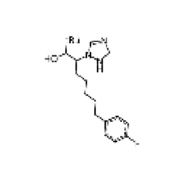 CC(C)(C)C(O)C(CCCCCc1ccc(F)cc1)N1C=NCN1